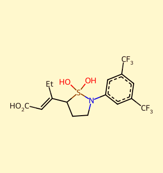 CC/C(=C\C(=O)O)C1CCN(c2cc(C(F)(F)F)cc(C(F)(F)F)c2)S1(O)O